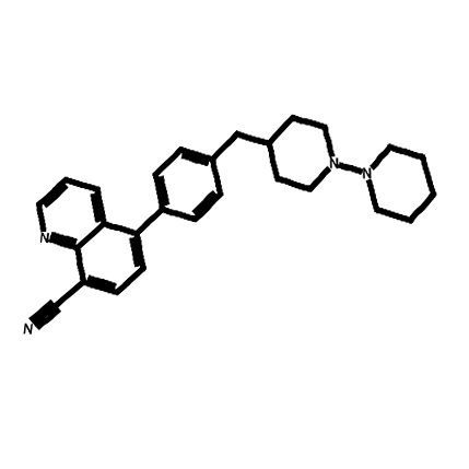 N#Cc1ccc(-c2ccc(CC3CCN(N4CCCCC4)CC3)cc2)c2cccnc12